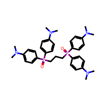 CN(C)c1ccc(P(=O)(CCCP(=O)(c2ccc(N(C)C)cc2)c2ccc(N(C)C)cc2)c2ccc(N(C)C)cc2)cc1